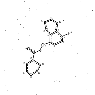 O=C(COc1ccc(F)c2ccccc12)c1ccccc1